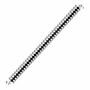 FC(F)(F)C(F)(F)C(F)(F)C(F)(F)C(F)(F)C(F)(F)C(F)(F)C(F)(F)C(F)(F)C(F)(F)C(F)(F)C(F)(F)C(F)(F)C(F)(F)C(F)(F)C(F)(F)C(F)(F)C(F)(F)C(F)(F)C(F)(F)C(F)(F)C(F)(F)C(F)(F)C(F)(F)C(F)(F)C(F)(F)C(F)(F)C(F)(F)C(F)(F)C(F)(F)C(F)(F)C(F)(F)C(F)(F)C(F)(F)C(F)(F)C(F)(F)C(F)(F)C(F)(F)C(F)(F)C(F)(F)F